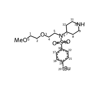 COCCOCCN(C1CCNCC1)S(=O)(=O)c1ccc(C(C)(C)C)cc1